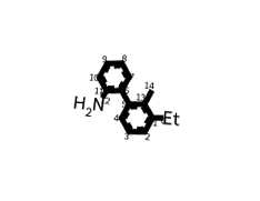 CCc1cccc(-c2ccccc2N)c1C